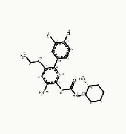 O=C(N[C@@H]1CCCC[C@H]1O)Oc1nc(-c2ccc(Cl)c(Cl)c2)c(OCC(F)(F)F)nc1C(F)(F)F